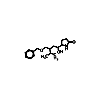 CC(C)C(COCc1ccccc1)CC(O)C1CCC(=O)N1